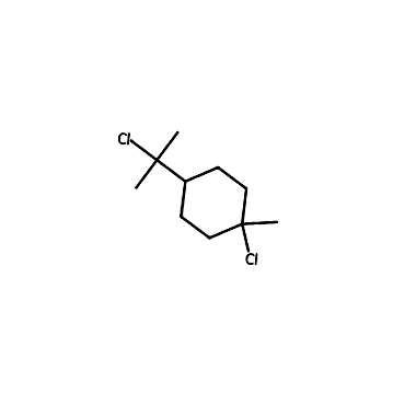 CC1(Cl)CCC(C(C)(C)Cl)CC1